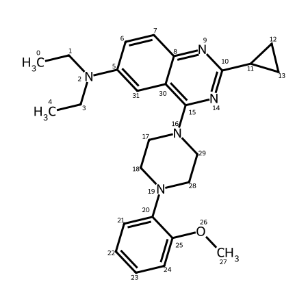 CCN(CC)c1ccc2nc(C3CC3)nc(N3CCN(c4ccccc4OC)CC3)c2c1